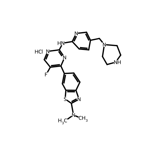 CN(C)c1nc2ccc(-c3nc(Nc4ccc(CN5CCNCC5)cn4)ncc3F)cc2s1.Cl